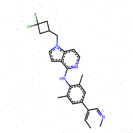 C/C=C(\C=N/C)c1cc(C)c(Nc2nccc3c2ccn3CC2CC(F)(F)C2)c(C)c1